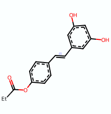 CCC(=O)Oc1ccc(/C=C/c2cc(O)cc(O)c2)cc1